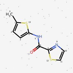 Cc1ccc(NC(=O)c2nccs2)s1